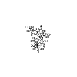 O=C[C@H](O)[C@@H](O)[C@H](O)[C@H](O)CO.OC[C@H]1O[C@@](CO)(O[C@H]2O[C@H](CO)[C@@H](O)[C@H](O)[C@H]2O)[C@@H](O)[C@@H]1O.OC[C@H]1O[C@H](O[C@H]2[C@H](O)[C@@H](O)[C@H](O)O[C@@H]2CO)[C@H](O)[C@@H](O)[C@@H]1O.OC[C@H]1O[C@](O)(CO)[C@@H](O)[C@@H]1O